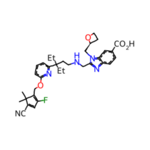 CCC(CC)(CCNCc1nc2ccc(C(=O)O)cc2n1C[C@@H]1CCO1)c1cccc(OCC2=C(F)C=C(C#N)C2(C)C)n1